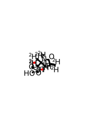 [2H]C([2H])=C([2H])C(=O)N([2H])C(C([2H])([2H])[2H])(C([2H])([2H])[2H])C([2H])([2H])S(=O)(=O)O